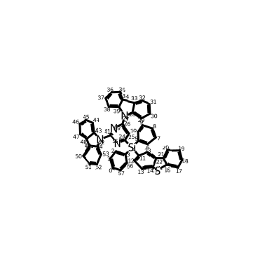 c1ccc([Si](c2ccccc2)(c2ccc3sc4ccccc4c3c2)c2cc(-n3c4ccccc4c4ccccc43)nc(-n3c4ccccc4c4ccccc43)n2)cc1